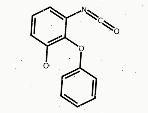 [O]c1cccc(N=C=O)c1Oc1ccccc1